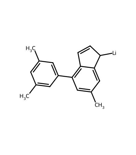 [Li][CH]1C=Cc2c(-c3cc(C)cc(C)c3)cc(C)cc21